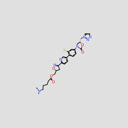 CN(C)CCCCC(=O)OCC1CC(c2ccc(-c3ccc(N4C[C@H](Cn5ccnn5)OC4=O)cc3F)cn2)=NO1